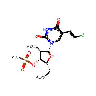 CC(=O)OC[C@H]1O[C@@H](n2cc(C=CCl)c(=O)[nH]c2=O)[C@H](OC(C)=O)[C@H]1OS(C)(=O)=O